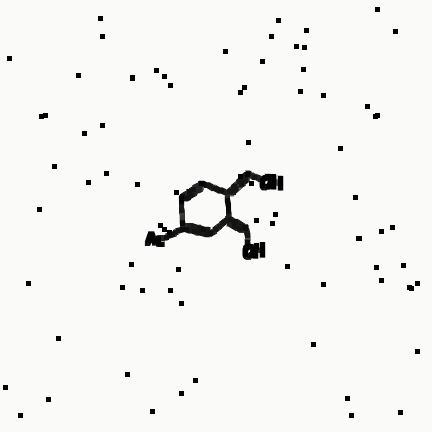 CC(=O)c1ccc(=CO)c(=CO)c1